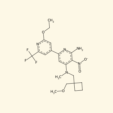 CCOc1cc(-c2cc(N(C)CC3(COC)CCC3)c([N+](=O)[O-])c(N)n2)cc(C(F)(F)F)n1